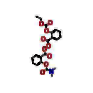 CCOC(=O)Oc1ccccc1C(=O)OOC(=O)c1ccccc1OC(=O)N(C)C